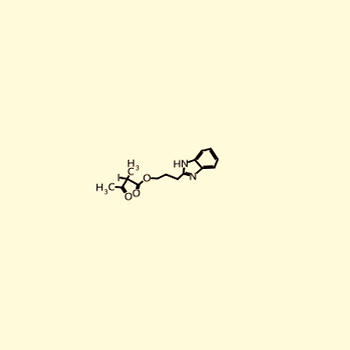 CC(=O)C(C)(I)C(=O)OCCCc1nc2ccccc2[nH]1